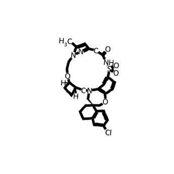 Cc1cc2nn1CCO[C@@H]1CC[C@H]1CN1C[C@@]3(CCCc4cc(Cl)ccc43)COc3ccc(cc31)S(=O)(=O)NC(=O)C2